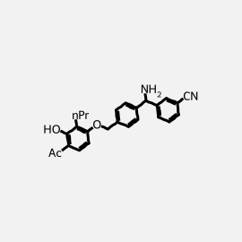 CCCc1c(OCc2ccc(C(N)c3cccc(C#N)c3)cc2)ccc(C(C)=O)c1O